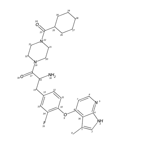 Cc1c[nH]c2nccc(Oc3ccc(CC(N)C(=O)N4CCN(C(=O)C5CCCCC5)CC4)cc3F)c12